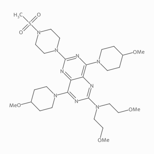 COCCN(CCOC)c1nc(N2CCC(OC)CC2)c2nc(N3CCN(S(C)(=O)=O)CC3)nc(N3CCC(OC)CC3)c2n1